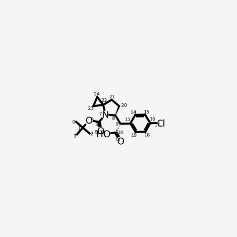 CC(C)(C)OC(=O)N1[C@H]([C@@H](C(=O)O)c2ccc(Cl)cc2)CCC12CC2